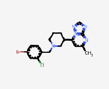 Cc1cc(C2CCCN(Cc3ccc(Br)cc3Cl)C2)n2ncnc2n1